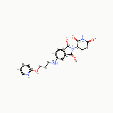 O=C1CCC(N2C(=O)c3ccc(NCCCOc4ccccn4)cc3C2=O)C(=O)N1